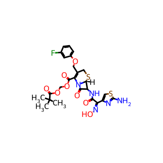 CC(C)(C)C(=O)OCOC(=O)C1=C(COc2cccc(F)c2)CS[C@@H]2C(NC(=O)/C(=N\O)c3csc(N)n3)C(=O)N12